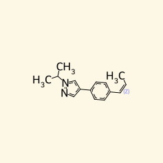 C/C=C\c1ccc(-c2cnn(C(C)C)c2)cc1